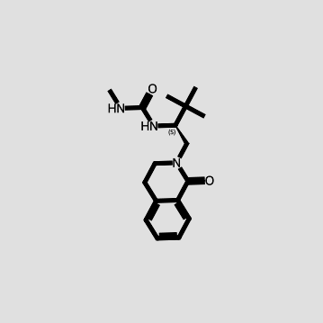 CNC(=O)N[C@H](CN1CCc2ccccc2C1=O)C(C)(C)C